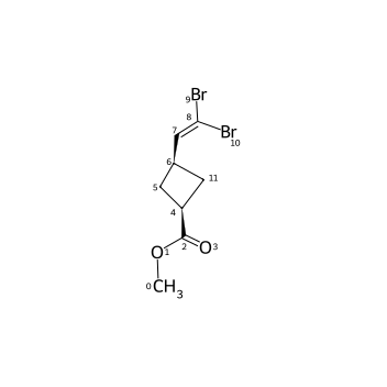 COC(=O)[C@H]1C[C@@H](C=C(Br)Br)C1